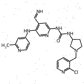 Cc1cc(Nc2cnc(NC(=O)NC3CCN(Cc4cccnc4Cl)C3)cc2C=N)ccn1